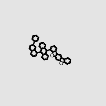 c1ccc(-c2ccc3cccc(-c4c5ccccc5c(-c5cccc6c5oc5cc7oc8ccccc8c7cc56)c5ccccc45)c3c2)cc1